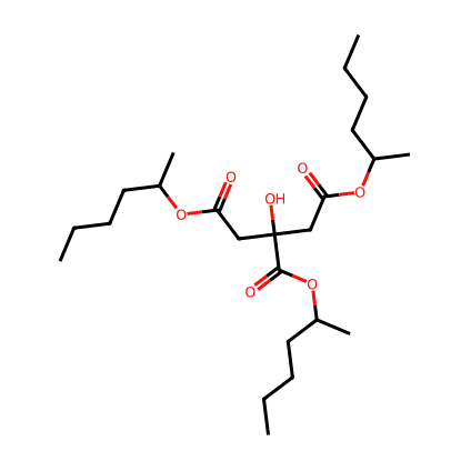 CCCCC(C)OC(=O)CC(O)(CC(=O)OC(C)CCCC)C(=O)OC(C)CCCC